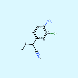 CCC(C#N)c1ccc(N)c(Cl)c1